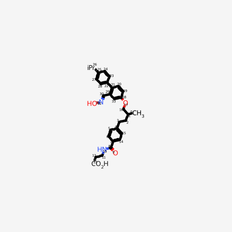 CC(CCc1ccc(C(=O)NCCC(=O)O)cc1)COc1ccc(-c2ccc(C(C)C)cc2)c(C=NO)c1